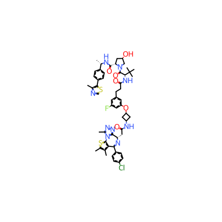 Cc1ncsc1-c1ccc([C@H](C)NC(=O)[C@@H]2C[C@@H](O)CN2C(=O)[C@@H](NC(=O)CCc2cc(F)cc(O[C@H]3C[C@@H](NC(=O)C[C@@H]4N=C(c5ccc(Cl)cc5)c5c(sc(C)c5C)-n5c(C)nnc54)C3)c2)C(C)(C)C)cc1